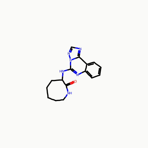 O=C1NCCCCCC1Nc1nc2ccccc2c2ncnn12